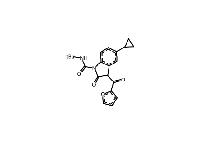 CC(C)(C)NC(=O)N1C(=O)C(C(=O)c2ccco2)c2cc(C3CC3)ccc21